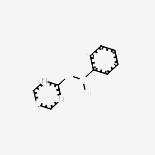 OB(Oc1ncncn1)c1ccccc1